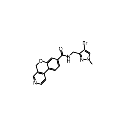 Cn1cc(Br)c(CNC(=O)c2ccc3c(c2)OCc2cnccc2-3)n1